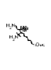 Br.Br.CCCCCCCCCCCCCCCCC(C(=O)CCN)C(C)(C)N